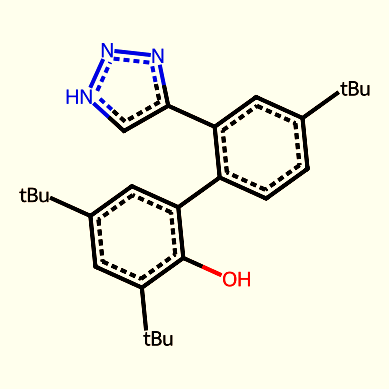 CC(C)(C)c1ccc(-c2cc(C(C)(C)C)cc(C(C)(C)C)c2O)c(-c2c[nH]nn2)c1